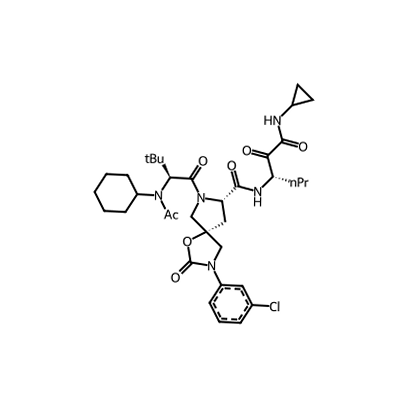 CCC[C@H](NC(=O)[C@@H]1C[C@@]2(CN(c3cccc(Cl)c3)C(=O)O2)CN1C(=O)[C@@H](N(C(C)=O)C1CCCCC1)C(C)(C)C)C(=O)C(=O)NC1CC1